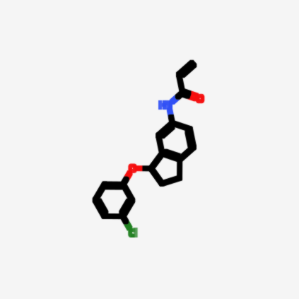 C=CC(=O)Nc1ccc2c(c1)C(Oc1cccc(Cl)c1)CC2